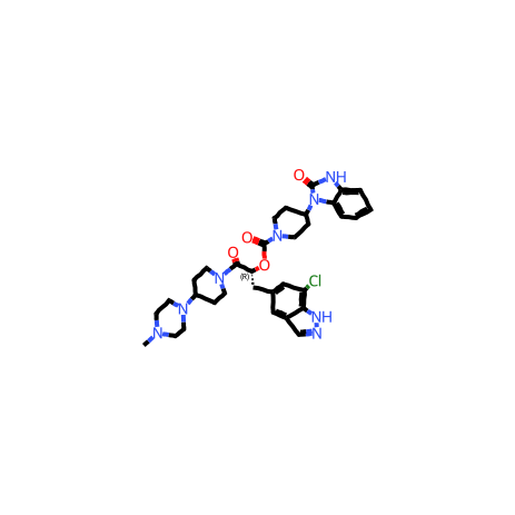 CN1CCN(C2CCN(C(=O)[C@@H](Cc3cc(Cl)c4[nH]ncc4c3)OC(=O)N3CCC(n4c(=O)[nH]c5ccccc54)CC3)CC2)CC1